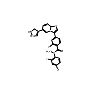 CN(C(=O)c1ccc(C2=CNC3C=CC(C4=CNNC4)=CN23)cc1F)c1ccc(Cl)cc1F